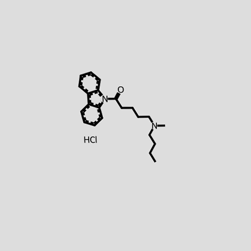 CCCCN(C)CCCCC(=O)n1c2ccccc2c2ccccc21.Cl